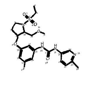 CCS(=O)(=O)N1CCC(Oc2cc(F)cc(NC(=O)Nc3ccc(C)nc3)c2)C1COC